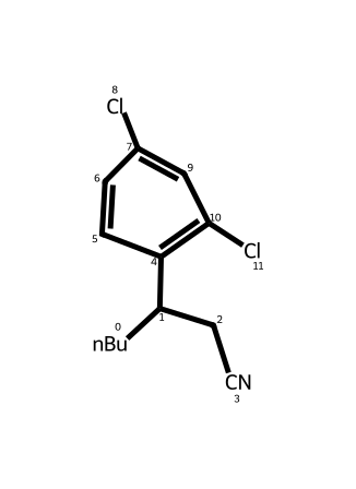 CCCCC(CC#N)c1ccc(Cl)cc1Cl